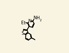 CCc1nc(N)ccc1-c1csc2ccc(C)cc12